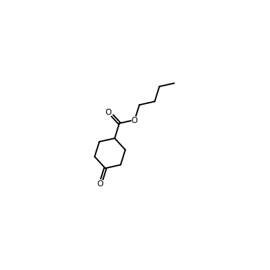 CCCCOC(=O)C1CCC(=O)CC1